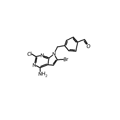 Nc1nc(Cl)nc2c1cc(Br)n2Cc1ccc(C=O)cc1